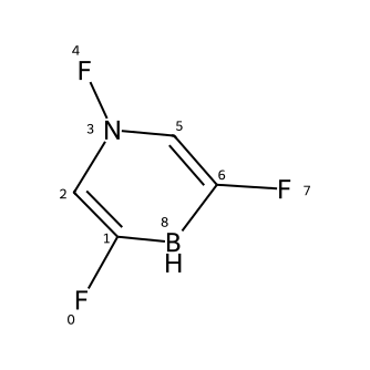 FC1=CN(F)C=C(F)B1